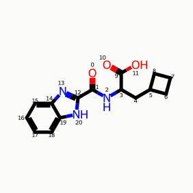 O=C(NC(CC1CCC1)C(=O)O)c1nc2ccccc2[nH]1